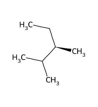 CC[C@@H](C)C(C)C